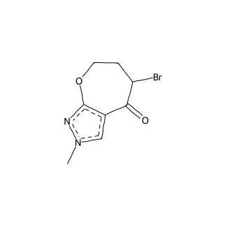 Cn1cc2c(n1)OCCC(Br)C2=O